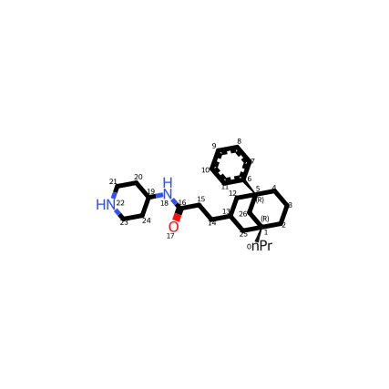 CCC[C@@]12CCC[C@@](c3ccccc3)(CC(CCC(=O)NC3CCNCC3)C1)C2